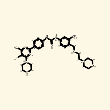 N#Cc1nc(-c2ccc(NC(=O)Nc3ccc(COCCN4CCOCC4)c(C(F)(F)F)c3)cc2)nc(N2CCOCC2)c1F